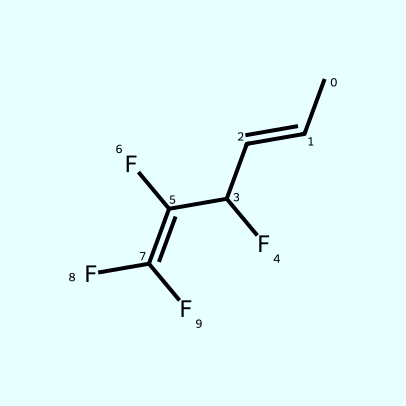 CC=CC(F)C(F)=C(F)F